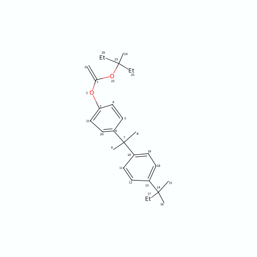 C=C(Oc1ccc(C(C)(C)c2ccc(C(C)(C)CC)cc2)cc1)OC(C)(CC)CC